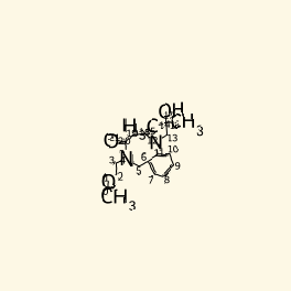 COCCN1Cc2ccccc2N(CC(C)(C)O)CCC1=O